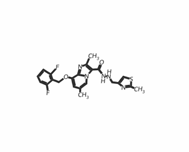 Cc1cc(OCc2c(F)cccc2F)c2nc(C)c(C(=O)NNCc3csc(C)n3)n2c1